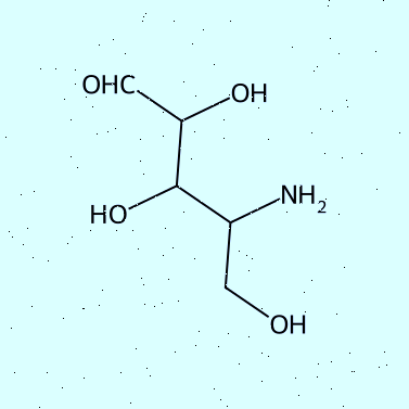 NC(CO)C(O)C(O)C=O